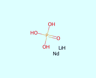 O=P(O)(O)O.[LiH].[Nd]